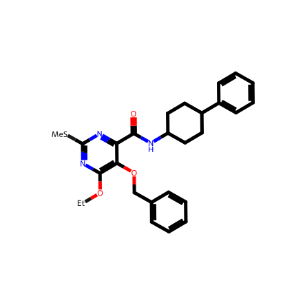 CCOc1nc(SC)nc(C(=O)NC2CCC(c3ccccc3)CC2)c1OCc1ccccc1